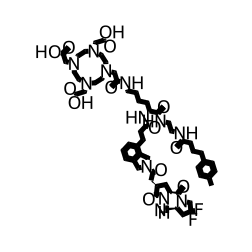 Cc1ccc(CCCC(=O)NCCNC(=O)C(CCCCNC(=O)CN2CCN(CC(=O)O)CCN(CC(=O)O)CCN(CC(=O)O)CC2)NC(=O)CCc2cccc3c2CN(C(=O)C[C@@H]2C[C@@H](C(=O)N4CC(F)(F)C[C@H]4C#N)NC2=O)C3)cc1